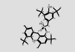 Cc1cc(Cc2cc(C)cc(C(C)(C)C)c2OP(=O)(O)Cc2cc(C(C)(C)C)c(O)c(C(C)(C)C)c2)c(O)c(C(C)(C)C)c1